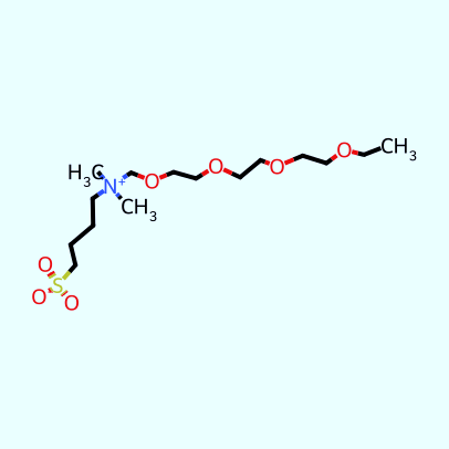 CCOCCOCCOCCOC[N+](C)(C)CCCCS(=O)(=O)[O-]